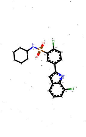 O=S(=O)(NC1CCCCC1)c1cc(-c2cc3cccc(Cl)c3[nH]2)ccc1Cl